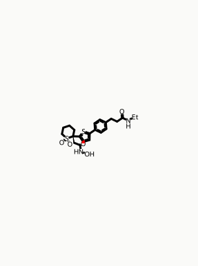 CCNC(=O)CCc1ccc(-c2ccc([C@@]3(CC(=O)NO)CCCCS3(=O)=O)s2)cc1